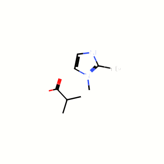 CC(C)C(=O)[O-].CCCCc1[nH]cc[n+]1C